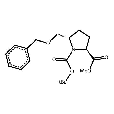 COC(=O)[C@@H]1CC[C@@H](COCc2ccccc2)N1C(=O)OC(C)(C)C